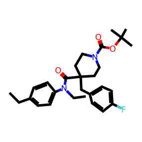 CCc1ccc(N(CC)C(=O)C2(Cc3ccc(F)cc3)CCN(C(=O)OC(C)(C)C)CC2)cc1